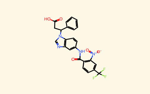 O=C(O)CC(c1ccccc1)n1cnc2cc(NC(=O)c3ccc(C(F)(F)F)cc3[N+](=O)[O-])ccc21